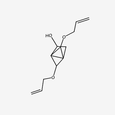 C=CCOC1C23CC(O)C12C3OCC=C